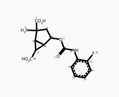 NC1(C(=O)O)CC(OC(=O)Nc2ccccc2F)C2C(C(=O)O)C21